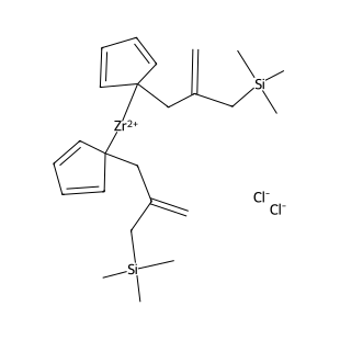 C=C(C[C]1([Zr+2][C]2(CC(=C)C[Si](C)(C)C)C=CC=C2)C=CC=C1)C[Si](C)(C)C.[Cl-].[Cl-]